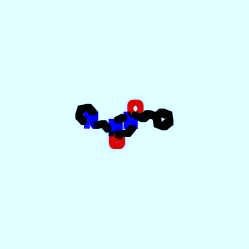 O=C(C=Cc1ccccc1)N1CCC(=O)N(CCCN2CCCCC2)CC1